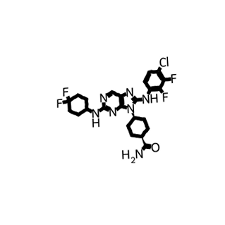 NC(=O)[C@H]1CC[C@@H](n2c(Nc3ccc(Cl)c(F)c3F)nc3cnc(NC4CCC(F)(F)CC4)nc32)CC1